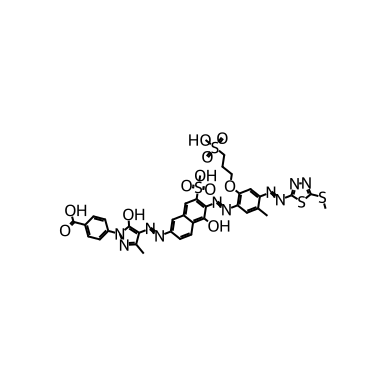 CSc1nnc(N=Nc2cc(OCCCS(=O)(=O)O)c(N=Nc3c(S(=O)(=O)O)cc4cc(N=Nc5c(C)nn(-c6ccc(C(=O)O)cc6)c5O)ccc4c3O)cc2C)s1